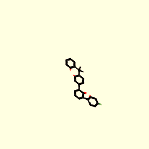 CC1(C)c2ccccc2Oc2cc(-c3cccc4c3oc3cc(Cl)ccc34)ccc21